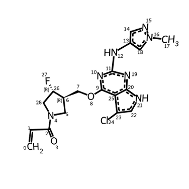 C=CC(=O)N1C[C@H](COc2nc(Nc3cnn(C)c3)nc3[nH]cc(Cl)c23)[C@@H](F)C1